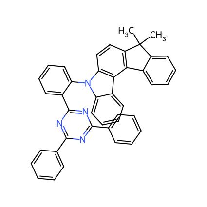 CC1(C)c2ccccc2-c2c1ccc1c2c2ccccc2n1-c1ccccc1-c1nc(-c2ccccc2)nc(-c2ccccc2)n1